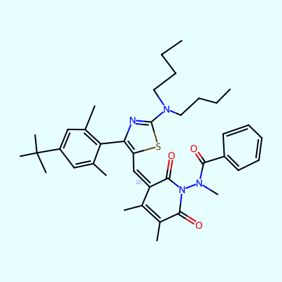 CCCCN(CCCC)c1nc(-c2c(C)cc(C(C)(C)C)cc2C)c(/C=C2\C(=O)N(N(C)C(=O)c3ccccc3)C(=O)C(C)=C2C)s1